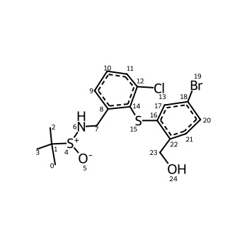 CC(C)(C)[S+]([O-])NCc1cccc(Cl)c1Sc1cc(Br)ccc1CO